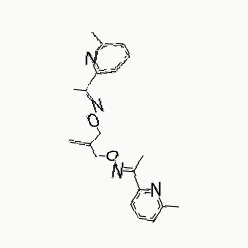 C=C(CO/N=C(\C)c1cccc(C)n1)CO/N=C(\C)c1cccc(C)n1